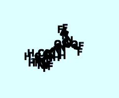 Cc1cc(CNC(=O)Nc2cc(OCC(F)F)nc(N3CC(F)(F)C3)c2)nnc1-c1c(C(F)(F)F)n[nH]c1C